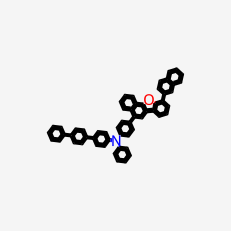 c1ccc(-c2ccc(-c3ccc(N(c4ccccc4)c4ccc(-c5cc6c7cccc(-c8ccc9ccccc9c8)c7oc6c6ccccc56)cc4)cc3)cc2)cc1